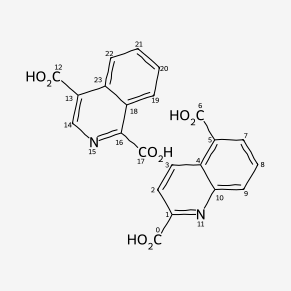 O=C(O)c1ccc2c(C(=O)O)cccc2n1.O=C(O)c1cnc(C(=O)O)c2ccccc12